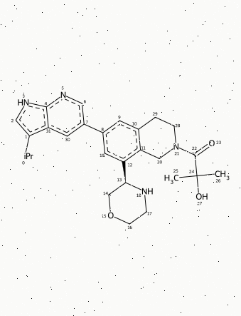 CC(C)c1c[nH]c2ncc(-c3cc4c(c([C@@H]5COCCN5)c3)CN(C(=O)C(C)(C)O)CC4)cc12